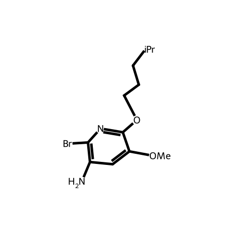 COc1cc(N)c(Br)nc1OCCCC(C)C